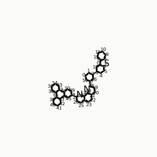 c1cc(-c2ccc3sc4ccccc4c3c2)cc(-c2ccc3ccc4ccc(-c5ccc6c7ccccc7c7ccccc7c6c5)nc4c3n2)c1